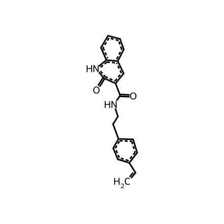 C=Cc1ccc(CCNC(=O)c2cc3ccccc3[nH]c2=O)cc1